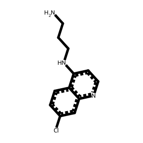 NCCCNc1ccnc2cc(Cl)ccc12